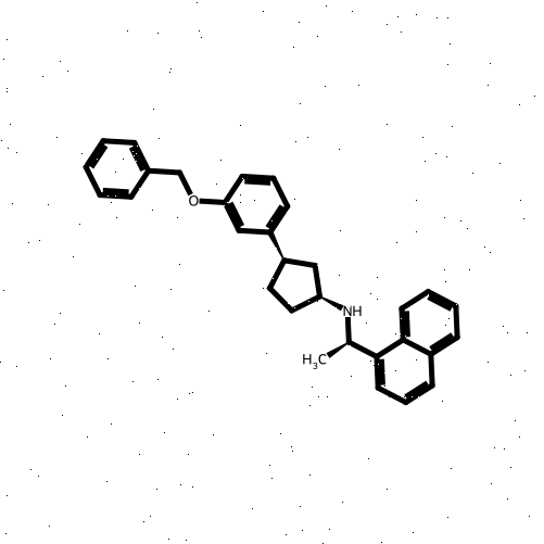 C[C@@H](N[C@H]1CC[C@@H](c2cccc(OCc3ccccc3)c2)C1)c1cccc2ccccc12